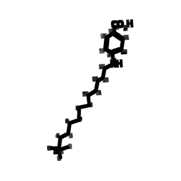 C[Si](C)(C)CCCCCCCCCCCNc1ccc(C(=O)O)cc1